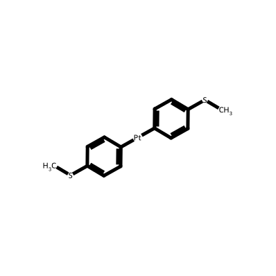 CSc1cc[c]([Pt][c]2ccc(SC)cc2)cc1